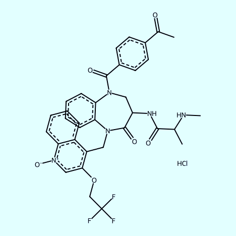 CNC(C)C(=O)NC1CN(C(=O)c2ccc(C(C)=O)cc2)c2ccccc2N(Cc2c(OCC(F)(F)F)c[n+]([O-])c3ccccc23)C1=O.Cl